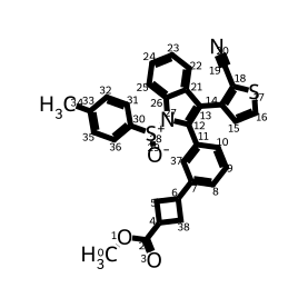 COC(=O)C1CC(c2cccc(-c3c(-c4ccsc4C#N)c4ccccc4n3[S+]([O-])c3ccc(C)cc3)c2)C1